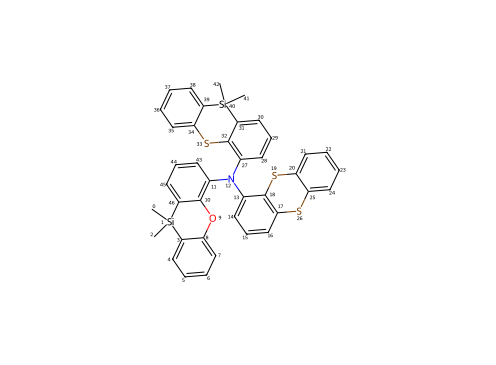 C[Si]1(C)c2ccccc2Oc2c(N(c3cccc4c3Sc3ccccc3S4)c3cccc4c3Sc3ccccc3[Si]4(C)C)cccc21